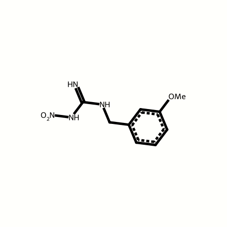 COc1cccc(CNC(=N)N[N+](=O)[O-])c1